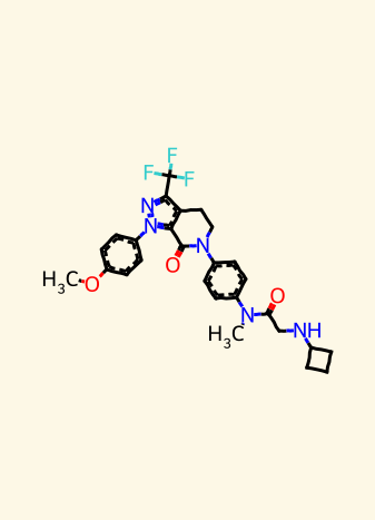 COc1ccc(-n2nc(C(F)(F)F)c3c2C(=O)N(c2ccc(N(C)C(=O)CNC4CCC4)cc2)CC3)cc1